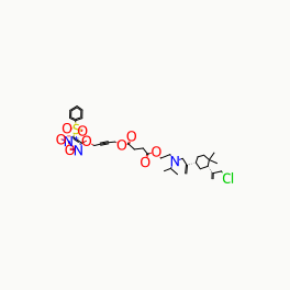 C=C(CN(CCOC(=O)CCC(=O)OCC#CCOc1no[n+]([O-])c1S(=O)(=O)c1ccccc1)C(C)C)[C@@H]1CCC(C)(C)[C@H](C(=C)CCl)C1